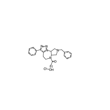 CCC(=O)N1CCc2c(-c3ccccc3)nnn2C2CN(Cc3ccccc3)CC21.OCl